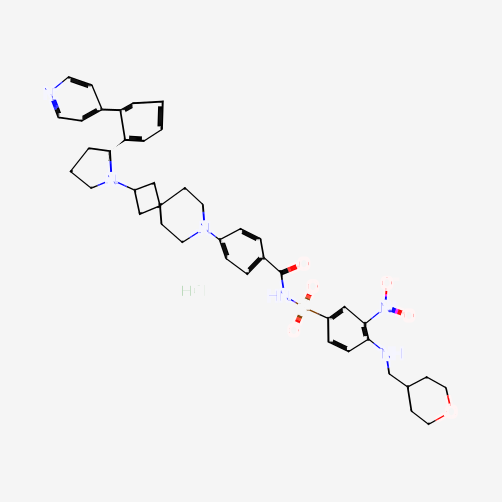 Cl.O=C(NS(=O)(=O)c1ccc(NCC2CCOCC2)c([N+](=O)[O-])c1)c1ccc(N2CCC3(CC2)CC(N2CCC[C@H]2c2ccccc2-c2ccncc2)C3)cc1